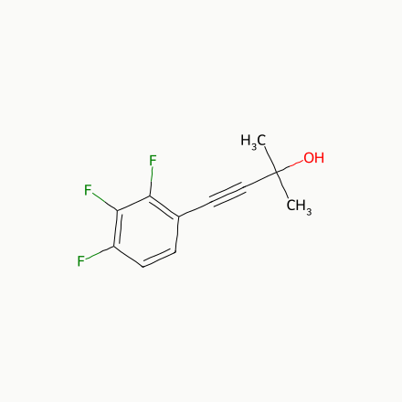 CC(C)(O)C#Cc1ccc(F)c(F)c1F